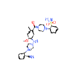 COc1cc(C)c(C(=O)N2CCN(c3ccccc3S(N)(=O)=O)CC2)cc1NN1CCN(c2ccccc2C#N)CC1